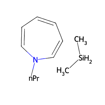 CCCN1C=CC=CC=C1.C[SiH2]C